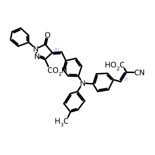 Cc1ccc(N(c2ccc(/C=C(/C#N)C(=O)O)cc2)c2ccc(/C=C3/C(=O)N(c4ccccc4)N=C3C(=O)O)cc2)cc1